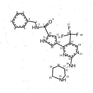 O=C(NCc1ccccc1)c1cc(-c2nc(N[C@H]3CCCNC3)ncc2C(F)(F)F)c[nH]1